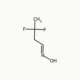 CC(F)(F)CC=NO